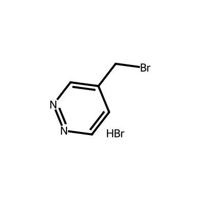 Br.BrCc1ccnnc1